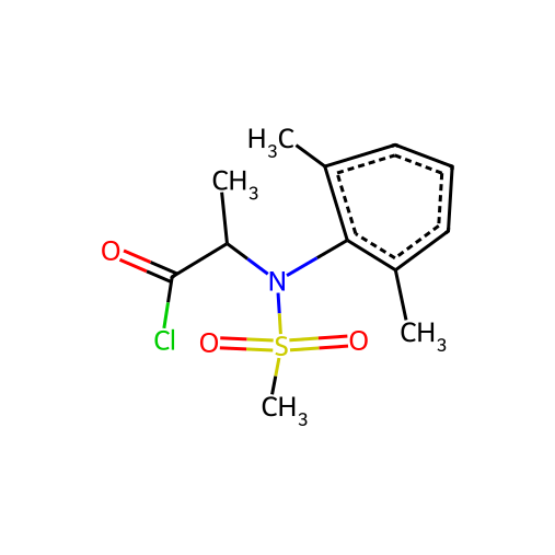 Cc1cccc(C)c1N(C(C)C(=O)Cl)S(C)(=O)=O